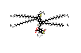 CCCCCCCCCCCCCCCCC1(CCCCCCCCCCCCCCCC)c2cc3c(cc2-c2sc(C)cc21)C(CCCCCCCCCCCCCCCC)(CCCCCCCCCCCCCCCC)c1cc(C2=c4cc5c(cc4C(=O)O2)=C(C)SC5=O)sc1-3